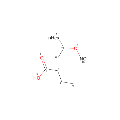 CCCC(=O)O.CCCCCCC(C)ON=O